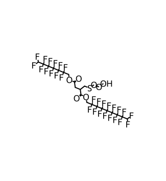 O=C(CC(CSOOO)C(=O)OCC(F)(F)C(F)(F)C(F)(F)C(F)(F)C(F)(F)C(F)(F)C(F)(F)C(F)F)OCC(F)(F)C(F)(F)C(F)(F)C(F)(F)C(F)(F)C(F)F